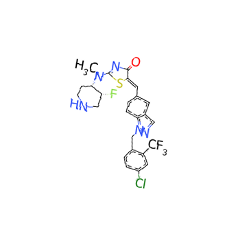 CN(C1=NC(=O)/C(=C/c2ccc3c(cnn3Cc3ccc(Cl)cc3C(F)(F)F)c2)S1)[C@H]1CCNC[C@H]1F